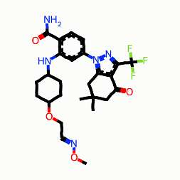 CON=CCOC1CCC(Nc2cc(-n3nc(C(F)(F)F)c4c3CC(C)(C)CC4=O)ccc2C(N)=O)CC1